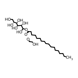 CCCCCCCCCCCCCCCCCC(=O)OC(O)[C@H](O)[C@@H](O)[C@H](O)[C@H](O)CO.O=CCO